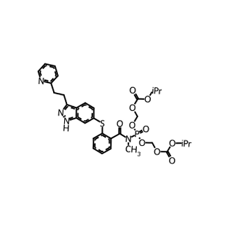 CC(C)OC(=O)OCOP(=O)(OCOC(=O)OC(C)C)N(C)C(=O)c1ccccc1Sc1ccc2c(CCc3ccccn3)n[nH]c2c1